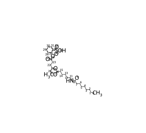 CCCCCCCCC(=O)NCCCCCC(=O)OC(CC)CCC(=O)Oc1ccccc1S(=O)(=O)O